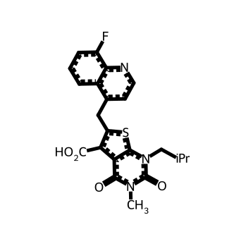 CC(C)Cn1c(=O)n(C)c(=O)c2c(C(=O)O)c(Cc3ccnc4c(F)cccc34)sc21